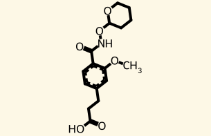 COc1cc(CCC(=O)O)ccc1C(=O)NOC1CCCCO1